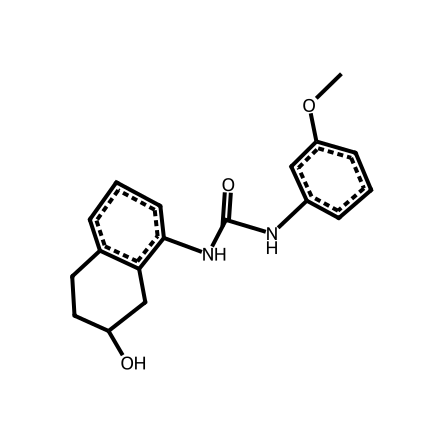 COc1cccc(NC(=O)Nc2cccc3c2CC(O)CC3)c1